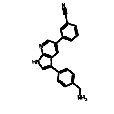 N#Cc1cccc(-c2cnc3[nH]cc(-c4ccc(CN)cc4)c3c2)c1